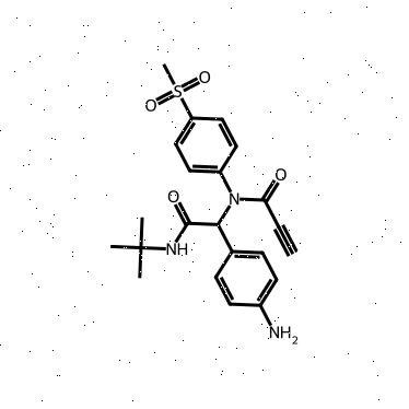 C#CC(=O)N(c1ccc(S(C)(=O)=O)cc1)C(C(=O)NC(C)(C)C)c1ccc(N)cc1